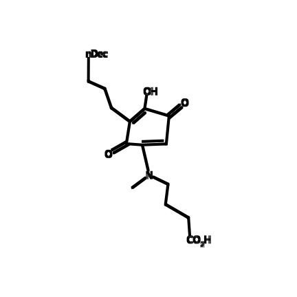 CCCCCCCCCCCCCC1=C(O)C(=O)C=C(N(C)CCCC(=O)O)C1=O